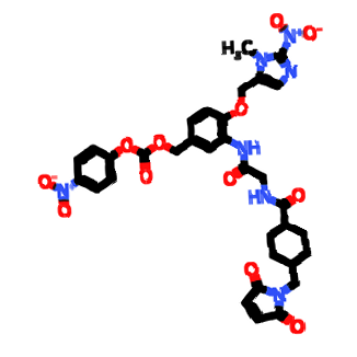 Cn1c(COc2ccc(COC(=O)Oc3ccc([N+](=O)[O-])cc3)cc2NC(=O)CNC(=O)C2CCC(CN3C(=O)C=CC3=O)CC2)cnc1[N+](=O)[O-]